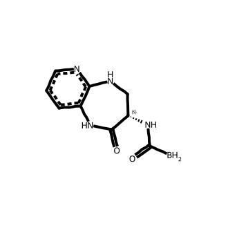 BC(=O)N[C@H]1CNc2ncccc2NC1=O